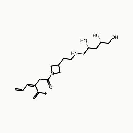 C=C/C=C(/CC(=O)N1CC(CCNC[C@H](O)C[C@H](O)CO)C1)C(=C)F